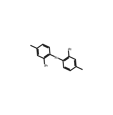 Cc1cc[c]([Ru][c]2ccc(C)cc2C(C)C)c(C(C)C)c1